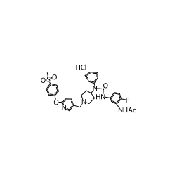 CC(=O)Nc1cc(NC(=O)N(c2ccccc2)C2CCN(Cc3ccc(Oc4ccc(S(C)(=O)=O)cc4)nc3)CC2)ccc1F.Cl